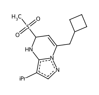 CC(C)c1cnn2c1NC(S(C)(=O)=O)C=C2CC1CCC1